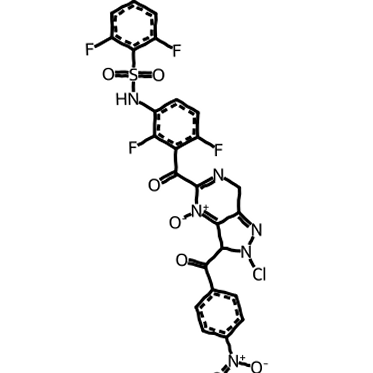 O=C(C1=NCC2=NN(Cl)C(C(=O)c3ccc([N+](=O)[O-])cc3)C2=[N+]1[O-])c1c(F)ccc(NS(=O)(=O)c2c(F)cccc2F)c1F